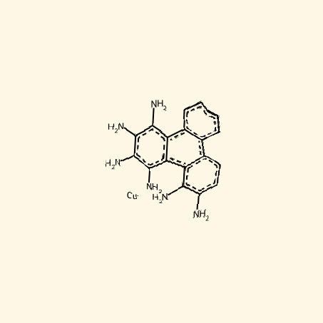 Nc1ccc2c3ccccc3c3c(N)c(N)c(N)c(N)c3c2c1N.[Cu]